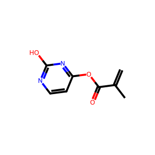 C=C(C)C(=O)Oc1ccnc(O)n1